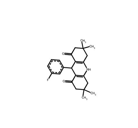 CC1(C)CC(=O)C2=C(C1)NC1=C(C(=O)CC(C)(C)C1)C2c1cccc(F)c1